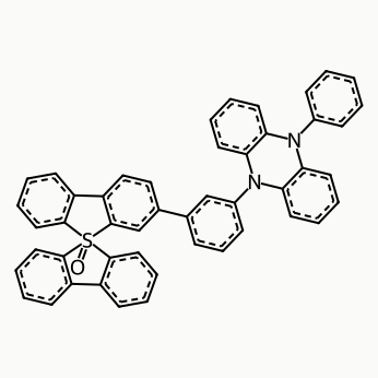 O=S12(c3ccccc3-c3ccccc31)c1ccccc1-c1ccc(-c3cccc(N4c5ccccc5N(c5ccccc5)c5ccccc54)c3)cc12